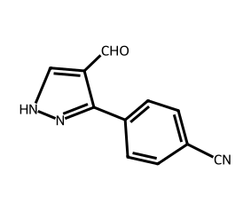 N#Cc1ccc(-c2n[nH]cc2C=O)cc1